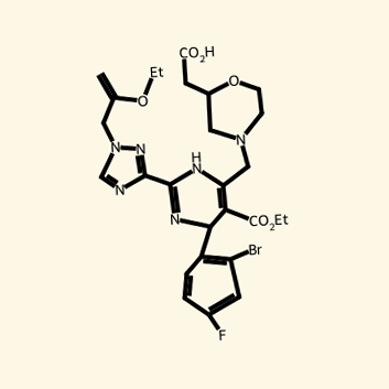 C=C(Cn1cnc(C2=NC(c3ccc(F)cc3Br)C(C(=O)OCC)=C(CN3CCOC(CC(=O)O)C3)N2)n1)OCC